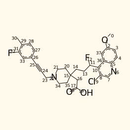 COc1ccc2ncc(Cl)c(C(F)CCC3(CC(=O)O)CCN(CC#Cc4ccc(C)c(F)c4)CC3)c2c1